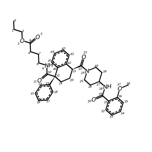 CCCOC(=O)CCCNC(=O)[C@@]1(c2ccccc2)CC[C@H](C(=O)N2CCC(NC(=O)c3ccccc3OC)CC2)c2ccccc21